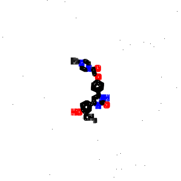 CCN1CCN(C(=O)COc2ccc(-c3cc(-c4ccc(O)c(C)c4)nc(=O)[nH]3)cc2)CC1